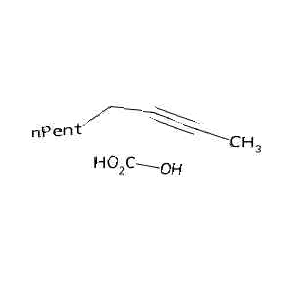 CC#CCCCCCC.O=C(O)O